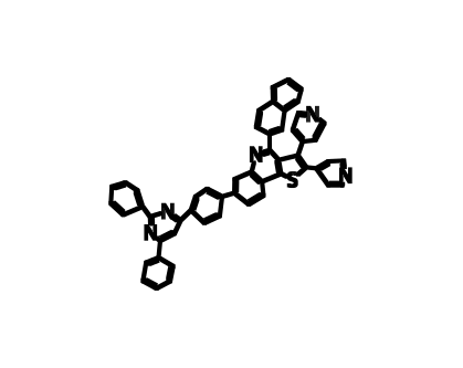 c1ccc(-c2cc(-c3ccc(-c4ccc5c(c4)nc(-c4ccc6ccccc6c4)c4c(-c6ccncc6)c(-c6ccncc6)sc45)cc3)nc(-c3ccccc3)n2)cc1